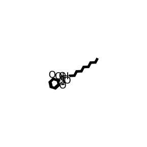 CCCCCCCCCOS(=O)(=O)C1(O)C=CC=CC1=O